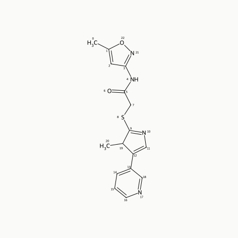 Cc1cc(NC(=O)CSC2=NC=C(c3cccnc3)C2C)no1